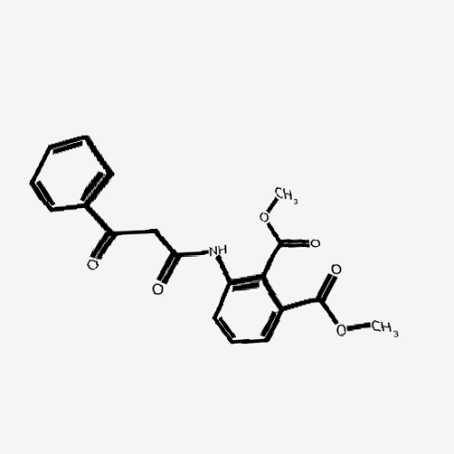 COC(=O)c1cccc(NC(=O)CC(=O)c2ccccc2)c1C(=O)OC